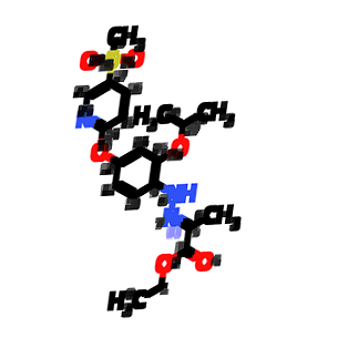 CCOC(=O)/C(C)=N/Nc1ccc(Oc2ccc(S(C)(=O)=O)cn2)cc1OC(C)C